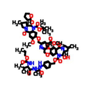 C=CCOC(=O)N[C@H](C(=O)N[C@@H](C)C(=O)Nc1ccc(COC(=O)N2c3cc(OCc4cc(C(=O)OC)cc(COc5cc6c(cc5OC)C(=O)N5CC(=C)C[C@H]5[C@H](OC5CCCCO5)N6C(=O)OC(C)(C)C)n4)c(OC)cc3C(=O)N3CC(=C)C[C@H]3[C@@H]2O)cc1)C(C)C